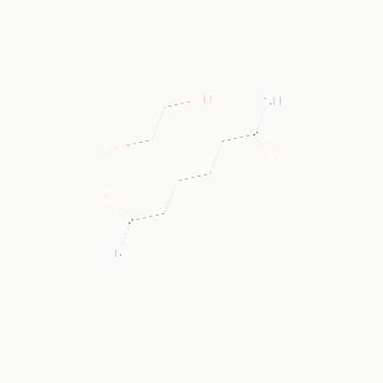 NC(=O)CCCCC(N)=O.OCCO